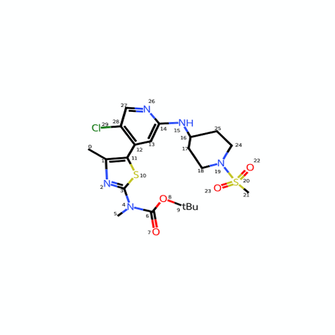 Cc1nc(N(C)C(=O)OC(C)(C)C)sc1-c1cc(NC2CCN(S(C)(=O)=O)CC2)ncc1Cl